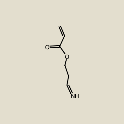 C=CC(=O)OCCC=N